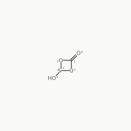 O=C1O[Si](O)O1